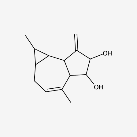 C=C1C(O)C(O)C2C(C)=CCC3C(C)C3C12